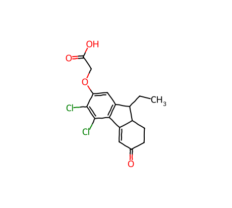 CCC1c2cc(OCC(=O)O)c(Cl)c(Cl)c2C2=CC(=O)CCC21